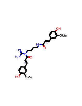 COc1cc(/C=C/C(=O)NCCCCN(C(=N)N)C(=O)/C=C/c2ccc(O)c(OC)c2)ccc1O